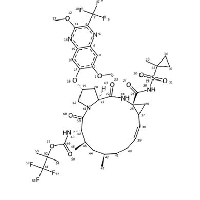 COc1cc2nc(C(F)(F)F)c(OC)nc2cc1O[C@@H]1C[C@H]2C(=O)N[C@]3(C(=O)NS(=O)(=O)C4(C)CC4)CC3/C=C\CC[C@@H](C)C[C@@H](C)[C@H](NC(=O)OC(C)(C)C(F)(F)F)C(=O)N2C1